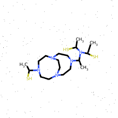 CC(S)N1CCN2CCN(CC1)CCN(C(C)N(C(C)S)C(C)S)CC2